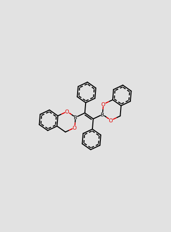 c1ccc(C(B2OCc3ccccc3O2)=C(B2OCc3ccccc3O2)c2ccccc2)cc1